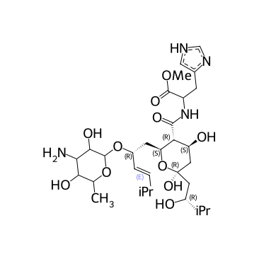 COC(=O)C(Cc1c[nH]cn1)NC(=O)[C@H]1[C@H](C[C@H](/C=C/C(C)C)OC2OC(C)C(O)C(N)C2O)O[C@](O)(C[C@@H](O)C(C)C)C[C@@H]1O